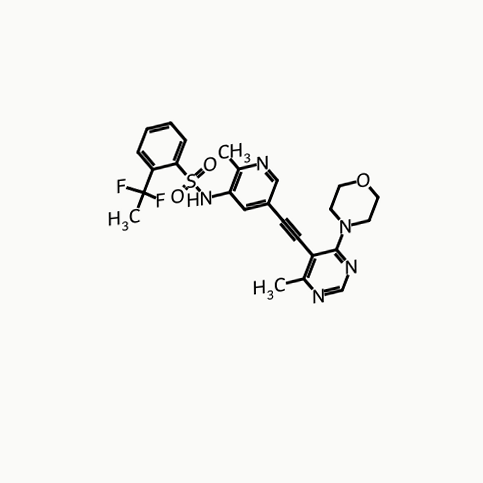 Cc1ncc(C#Cc2c(C)ncnc2N2CCOCC2)cc1NS(=O)(=O)c1ccccc1C(C)(F)F